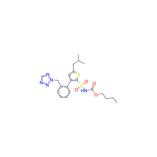 CCCCOC(=O)NS(=O)(=O)c1sc(CC(C)C)cc1-c1ccccc1Cn1ncnn1